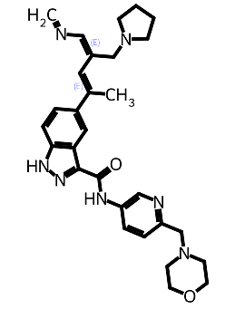 C=N/C=C(\C=C(/C)c1ccc2[nH]nc(C(=O)Nc3ccc(CN4CCOCC4)nc3)c2c1)CN1CCCC1